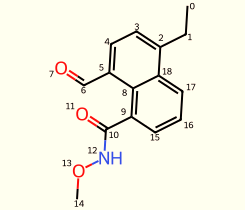 CCc1ccc(C=O)c2c(C(=O)NOC)cccc12